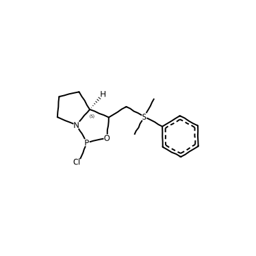 CS(C)(CC1OP(Cl)N2CCC[C@@H]12)c1ccccc1